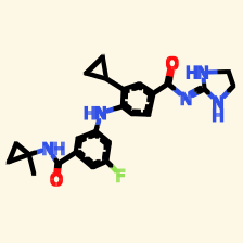 CC1(NC(=O)c2cc(F)cc(Nc3ccc(C(=O)N=C4NCCN4)cc3C3CC3)c2)CC1